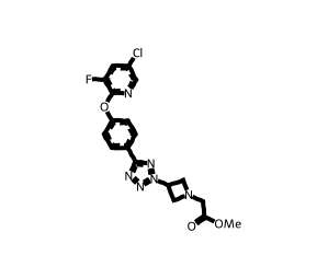 COC(=O)CN1CC(n2nnc(-c3ccc(Oc4ncc(Cl)cc4F)cc3)n2)C1